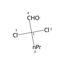 CCCC(Cl)(Cl)[C]=O